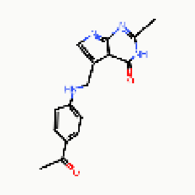 CC(=O)c1ccc(NCC2=CN=C3N=C(C)NC(=O)C23)cc1